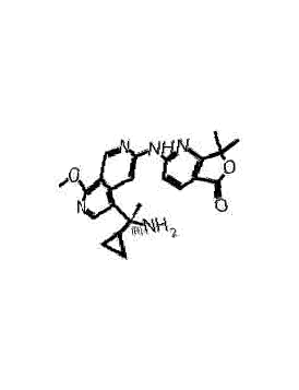 COc1ncc([C@](C)(N)C2CC2)c2cc(Nc3ccc4c(n3)C(C)(C)OC4=O)ncc12